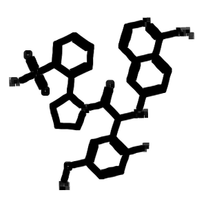 CCOc1ccc(F)c(C(Nc2ccc3c(N)nccc3c2)C(=O)N2CCCC2c2ccccc2S(=O)(=O)C(C)C)c1